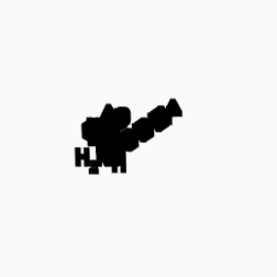 Cc1cccnc1-c1nc(C(N)=O)c(Nc2ccc(N3CCC(N4CCN(C5CC5)CC4)CC3)cc2)nc1NC1CCOCC12CC2